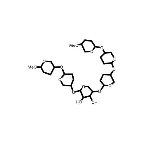 COC1CCC(OC2CCC(OC3CCC(OC4COC(OC5CCC(OC6CCC(OC)OC6)OC5)C(O)C4O)OC3)OC2)OC1